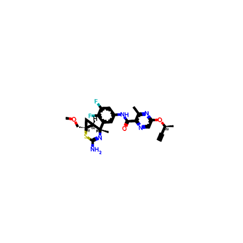 C#C[C@H](C)Oc1cnc(C(=O)Nc2cc(F)c(F)c([C@]3(C)N=C(N)S[C@@]4(COC)C[C@H]43)c2)c(C)n1